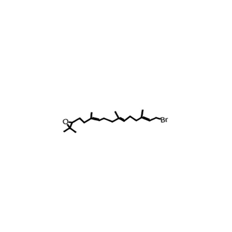 C/C(=C\CBr)CC/C=C(\C)CC/C=C(\C)CCC1OC1(C)C